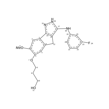 COc1cc2c(cc1OCCCO)Cc1c-2n[nH]c1Nc1cccc(F)c1